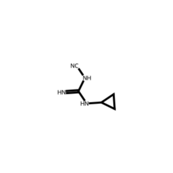 N#CNC(=N)NC1CC1